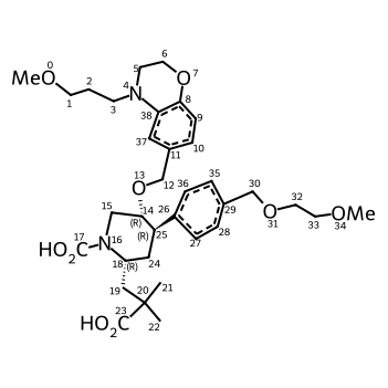 COCCCN1CCOc2ccc(CO[C@H]3CN(C(=O)O)[C@@H](CC(C)(C)C(=O)O)C[C@@H]3c3ccc(COCCOC)cc3)cc21